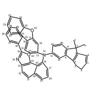 CC1(C)C2=C(CCC=C2)c2cc(N(c3ccc4c(c3)oc3ccccc34)c3cccc4ccc5nc(-c6ccccc6)oc5c34)ccc21